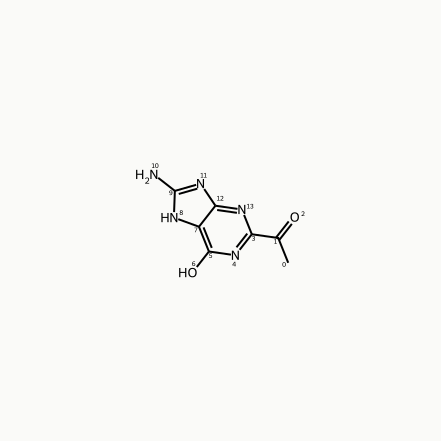 CC(=O)c1nc(O)c2[nH]c(N)nc2n1